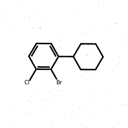 Clc1cccc(C2CCCCC2)c1Br